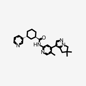 Cc1cnc(NC(=O)[C@@H]2CCC[C@@H](c3cccnc3)C2)cc1-c1cnn2c1CC(C)(C)C2